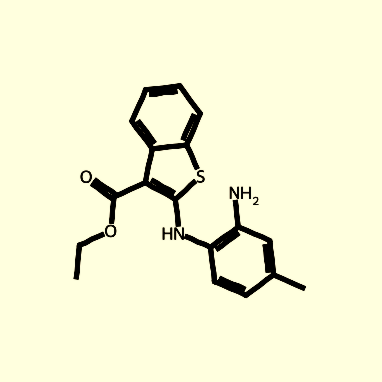 CCOC(=O)c1c(Nc2ccc(C)cc2N)sc2ccccc12